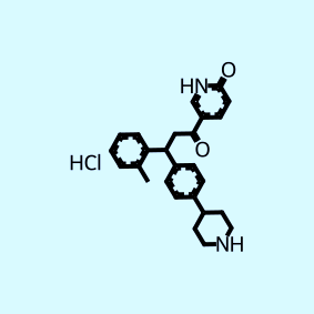 Cc1ccccc1C(CC(=O)c1ccc(=O)[nH]c1)c1ccc(C2CCNCC2)cc1.Cl